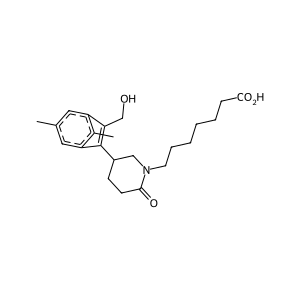 Cc1cc2c(C)c(c1)C(C1CCC(=O)N(CCCCCCC(=O)O)C1)=C2CO